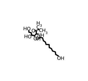 CC(C)[C@@H]1OC(CO)[C@@H](O)C(O)C1NC(=O)CCCCCCCCCCCO